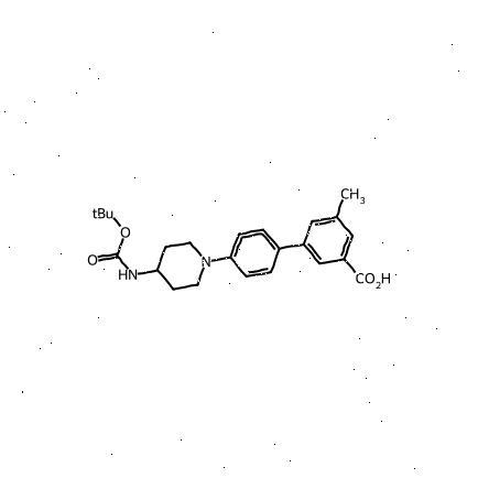 Cc1cc(C(=O)O)cc(C2=C=C=C(N3CCC(NC(=O)OC(C)(C)C)CC3)C=C2)c1